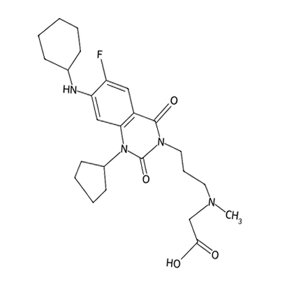 CN(CCCn1c(=O)c2cc(F)c(NC3CCCCC3)cc2n(C2CCCC2)c1=O)CC(=O)O